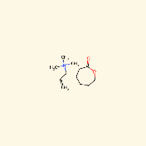 C=CC[N+](C)(C)C.O=C1CCCCCO1